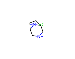 C1CC2CNCC1N2.Cl